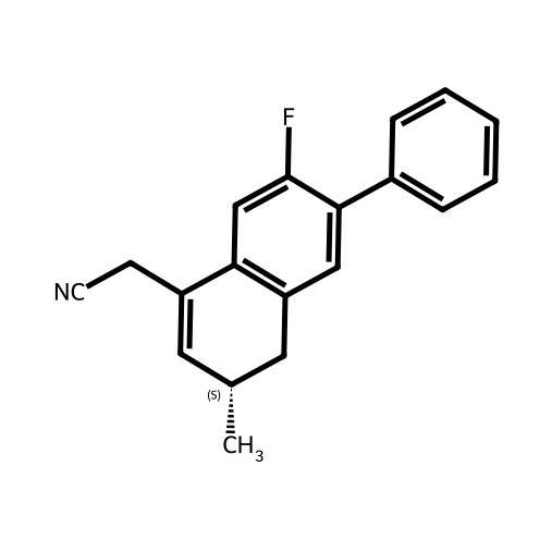 C[C@@H]1C=C(CC#N)c2cc(F)c(-c3ccccc3)cc2C1